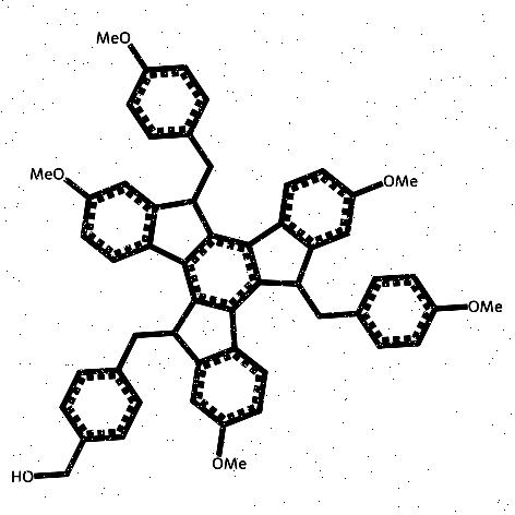 COc1ccc(CC2c3cc(OC)ccc3-c3c4c(c5c(c32)-c2ccc(OC)cc2C5Cc2ccc(OC)cc2)-c2ccc(OC)cc2C4Cc2ccc(CO)cc2)cc1